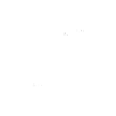 CC(=O)OCc1cc(C)c(NC(C)(C)C)c(C)c1